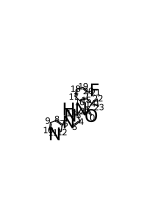 O=C(Nc1ccn(-c2cccnc2)n1)C1(c2ccccc2F)CC1